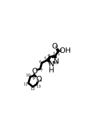 O=C(O)c1cc(CCOC2CCCCO2)[nH]n1